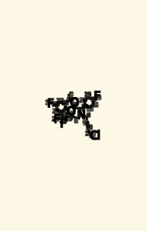 C[C@@H](OC1OCCN(CC#CCCl)C1c1ccc(F)cc1)c1cc(F)cc(C(F)(F)F)c1